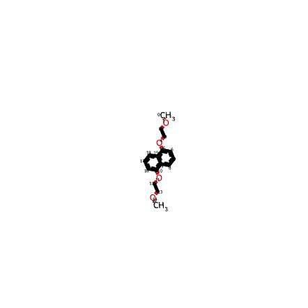 COCCOc1cccc2c(OCCOC)cccc12